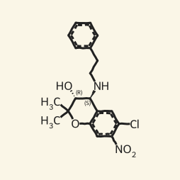 CC1(C)Oc2cc([N+](=O)[O-])c(Cl)cc2[C@H](NCCc2ccccc2)[C@H]1O